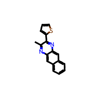 Cc1nc2cc3ccccc3cc2nc1-c1cccs1